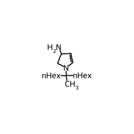 CCCCCCC(C)(CCCCCC)N1C=CC(N)C1